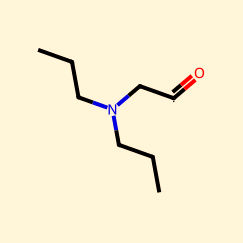 CCCN(C[C]=O)CCC